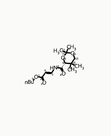 CCCCOC(=O)/C=C/NC(=O)[C@@H]1OC(C)(C)OCC1(C)C